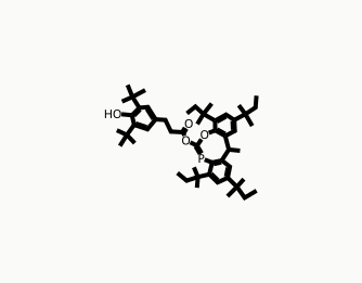 CCC(C)(C)c1cc2c(c(C(C)(C)CC)c1)OC(OC(=O)CCc1cc(C(C)(C)C)c(O)c(C(C)(C)C)c1)=Pc1c(cc(C(C)(C)CC)cc1C(C)(C)CC)C2C